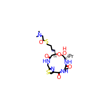 CC(C)[C@@H]1NC(=O)C(C)(C)NC(=O)c2csc(n2)CNC(=O)C[C@@H](/C=C/CCSC(=O)CN(C)C)OC1O